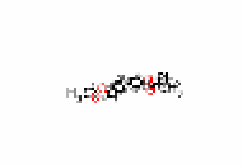 C=CC(=O)OC1CCc2cc(-c3ccc(OC(=O)C(=C)C)cc3)ccc21